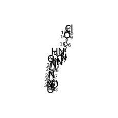 Cc1c(NC[C@H]2C[C@@H](c3ccc(Cl)cc3)C2)ncnc1C(=O)N1CCC(N2CCC(N(C)S(C)(=O)=O)CC2)CC1